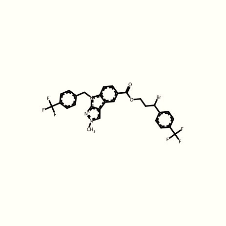 Cn1cc2c3cc(C(=O)OCCC(Br)c4ccc(C(F)(F)F)cc4)ccc3n(Cc3ccc(C(F)(F)F)cc3)c2n1